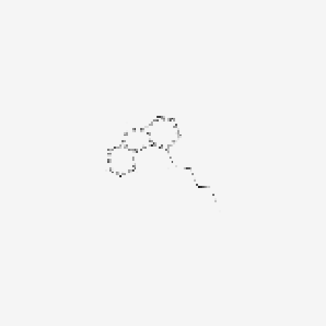 CCNCCOc1cccc2oc3ccccc3c12